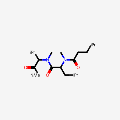 CNC(=O)C(C(C)C)N(C)C(=O)C(CC(C)C)N(C)C(=O)CCC(C)C